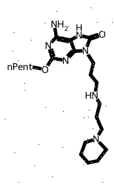 CCCCCOc1nc(N)c2[nH]c(=O)n(CCCNCCCN3CCCCC3)c2n1